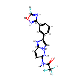 CN(C(=O)C(F)(F)F)c1ccc2nc(-c3cccc(-c4noc(F)n4)c3)cn2n1